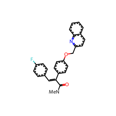 CNC(=O)/C(=C/c1ccc(F)cc1)c1ccc(OCc2ccc3ccccc3n2)cc1